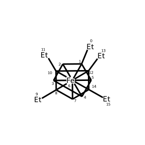 CC[C]12[CH]3[CH]4[CH]5[CH]1[Fe]45321678[CH]2[C]1(CC)[C]6(CC)[C]7(CC)[C]28CC